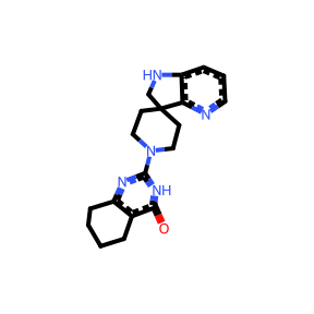 O=c1[nH]c(N2CCC3(CC2)CNc2cccnc23)nc2c1CCCC2